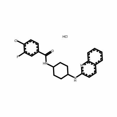 Cl.O=C(NC1CCC(Nc2ccc3ccccc3n2)CC1)c1ccc(Cl)c(F)c1